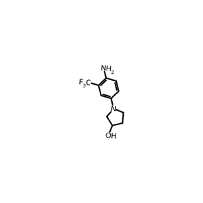 Nc1ccc(N2CCC(O)C2)cc1C(F)(F)F